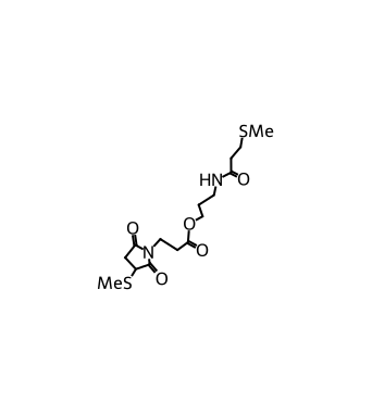 CSCCC(=O)NCCCOC(=O)CCN1C(=O)CC(SC)C1=O